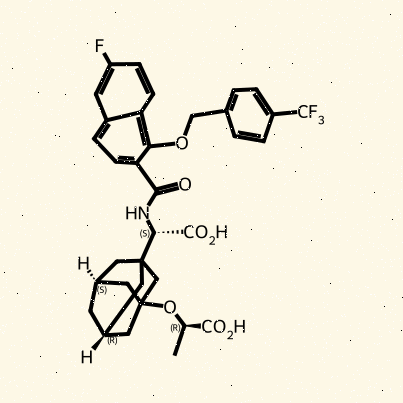 C[C@@H](OC12C[C@H]3C[C@@H](C1)CC([C@H](NC(=O)c1ccc4cc(F)ccc4c1OCc1ccc(C(F)(F)F)cc1)C(=O)O)(C3)C2)C(=O)O